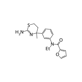 CCN(C(=O)c1ccco1)c1cccc(C2(C)CCSC(N)=N2)c1